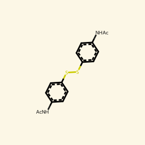 CC(=O)Nc1ccc(SSc2ccc(NC(C)=O)cc2)cc1